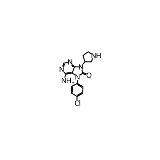 Nc1ncnc2c1n(-c1ccc(Cl)cc1)c(=O)n2C1CCNC1